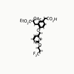 CCOC(=O)[C@@H](Cc1cc(CC(=O)O)ccc1OCc1ccnc(OCCC(F)(F)F)n1)OC(C)=O